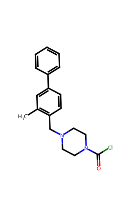 Cc1cc(-c2ccccc2)ccc1CN1CCN(C(=O)Cl)CC1